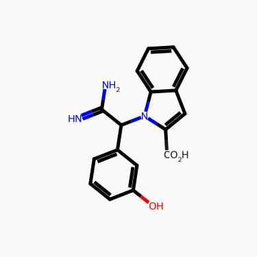 N=C(N)C(c1cccc(O)c1)n1c(C(=O)O)cc2ccccc21